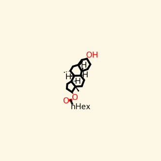 CCCCCCC(=O)O[C@H]1CC[C@H]2[C@H]3[C@H](CC[C@]12C)[C@H]1CC[C@@H](O)C=C1C[C@H]3C